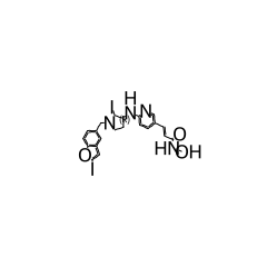 O=C(C=Cc1ccc(N[C@@H]2CCN(Cc3ccc4oc(I)cc4c3)C2I)nc1)NO